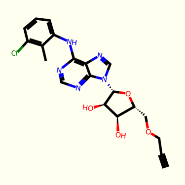 C#CCOC[C@H]1O[C@@H](n2cnc3c(Nc4cccc(Cl)c4C)ncnc32)[C@H](O)[C@@H]1O